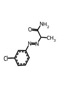 CC(/N=N/c1cccc(Cl)c1)C(N)=O